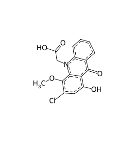 COc1c(Cl)cc(O)c2c(=O)c3ccccc3n(CC(=O)O)c12